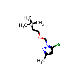 Cc1cc(Br)n(COCC[Si](C)(C)C)n1